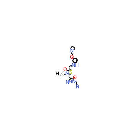 CCn1c(=C=C(C#N)C(=O)NCC#N)sc(=C=CNc2cccc(OCCN3CCCC3)c2)c1=O